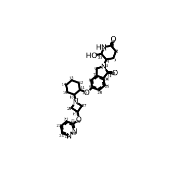 O=C1CCC(N2Cc3cc(OC4CCCCC4N4CC(Oc5cccnn5)C4)ccc3C2=O)C(O)N1